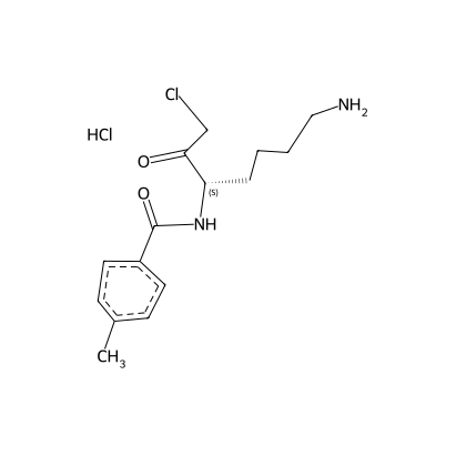 Cc1ccc(C(=O)N[C@@H](CCCCN)C(=O)CCl)cc1.Cl